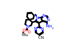 Cn1c(C2CN(C(=O)OC(C)(C)C)CCC23CC=CCC3)c(-c2ncc(C#N)cn2)c2c(N)ncnc21